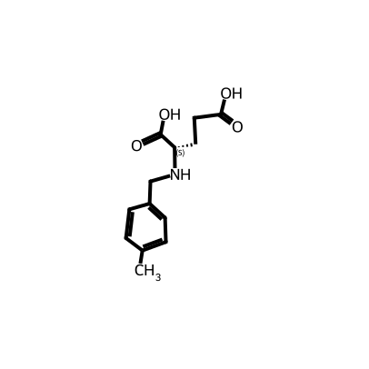 Cc1ccc(CN[C@@H](CCC(=O)O)C(=O)O)cc1